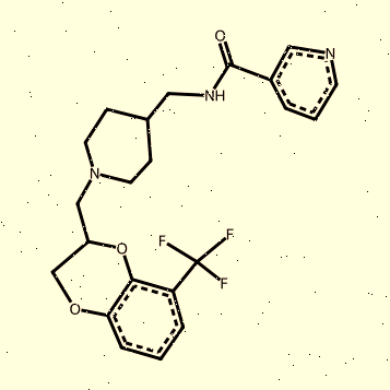 O=C(NCC1CCN(CC2COc3cccc(C(F)(F)F)c3O2)CC1)c1cccnc1